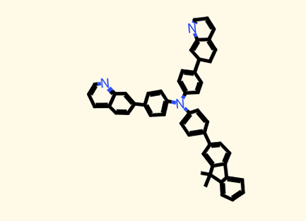 CC1(C)c2ccccc2-c2ccc(-c3ccc(N(c4ccc(-c5ccc6cccnc6c5)cc4)c4ccc(C5C=c6ncccc6=CC5)cc4)cc3)cc21